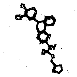 O=C(Nc1ncc2c(n1)-c1ccccc1C(c1ccc(Cl)c(Cl)c1)C2)OCC1CCCC1